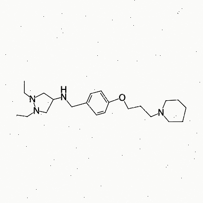 CCN1CC(NCc2ccc(OCCCN3CCCCC3)cc2)CN1CC